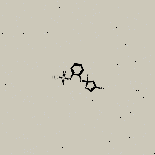 CS(=O)(=O)Nc1ccccc1OC1(F)CC(F)=CS1